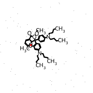 CCCCN(CCCC)c1ccc(C2(c3ccc(N(CCCC)CCCC)cc3OC)OC(=O)c3cccnc32)c(OC)c1